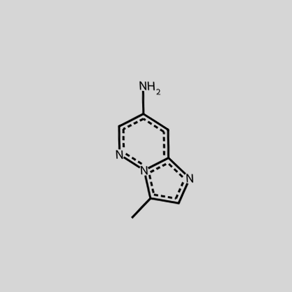 Cc1cnc2cc(N)cnn12